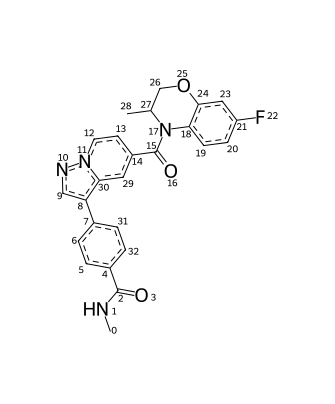 CNC(=O)c1ccc(-c2cnn3ccc(C(=O)N4c5ccc(F)cc5OCC4C)cc23)cc1